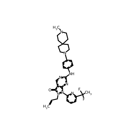 C=CCn1c(=O)c2cnc(Nc3ccc(N4CCC5(CCN(C)CC5)CC4)cc3)nc2n1-c1cccc(C(C)(F)F)n1